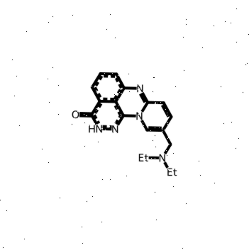 CCN(CC)CC1=CN2C(=Nc3cccc4c(=O)[nH]nc2c34)C=C1